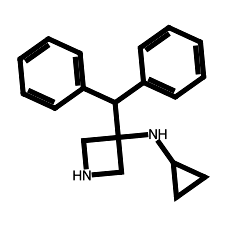 c1ccc(C(c2ccccc2)C2(NC3CC3)CNC2)cc1